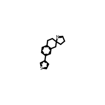 C1=NC2(CC1)CCc1ccc(-c3ccsc3)cc1C2